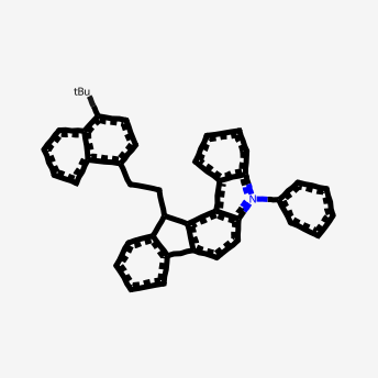 CC(C)(C)c1ccc(CCC2c3ccccc3-c3ccc4c(c32)c2ccccc2n4-c2ccccc2)c2ccccc12